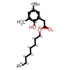 Cc1cc(C(C)(C)C)cc(CC(=O)OCCCCCCCC(C)C)c1O